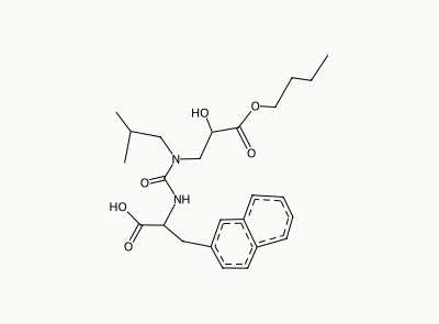 CCCCOC(=O)C(O)CN(CC(C)C)C(=O)NC(Cc1ccc2ccccc2c1)C(=O)O